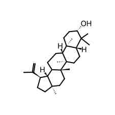 C=C(C)[C@@H]1CC[C@]2(C)CC[C@]3(C)C(CC[C@@H]4[C@@]5(C)CC[C@H](O)C(C)(C)[C@@H]5CC[C@]43C)[C@@H]12